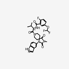 CC(C)[C@@H](NC(=O)c1cc(OC(F)F)ccc1F)C(=O)N1CCC2(CC1)C(=O)N(C)C(=O)N2c1ccc2[nH]ncc2c1